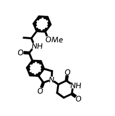 COc1ccccc1C(C)NC(=O)c1ccc2c(c1)CN(C1CCC(=O)NC1=O)C2=O